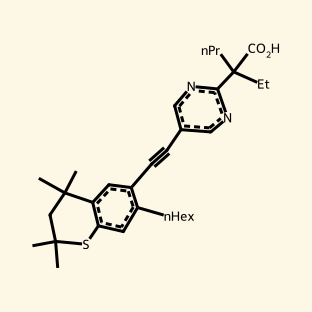 CCCCCCc1cc2c(cc1C#Cc1cnc(C(CC)(CCC)C(=O)O)nc1)C(C)(C)CC(C)(C)S2